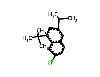 CC(C)c1cc(C(C)(C)C)c2cc(Cl)ccc2c1